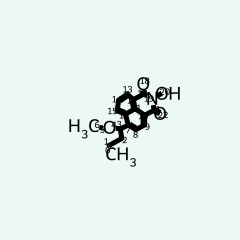 CCCC(OCC)c1ccc2c3c(cccc13)C(=O)N(O)C2=O